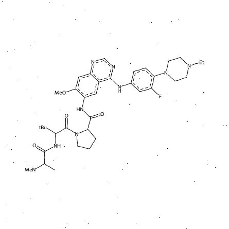 CCN1CCN(c2ccc(Nc3ncnc4cc(OC)c(NC(=O)C5CCCN5C(=O)C(NC(=O)C(C)NC)C(C)(C)C)cc34)cc2F)CC1